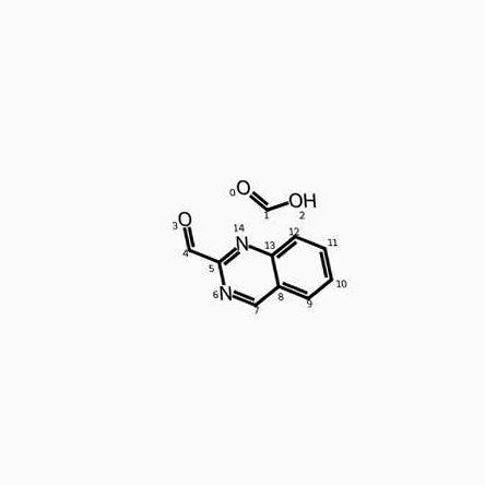 O=CO.O=Cc1ncc2ccccc2n1